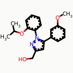 COc1cccc(-c2cc(CO)nn2-c2ccccc2OC(C)C)c1